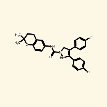 CC1(C)CCc2cc(NC(=O)N3CC(c4ccc(Cl)cc4)=C(c4ccc(Cl)cc4)N3)ccc2O1